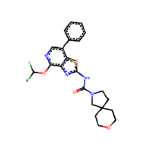 O=C(Nc1nc2c(OC(F)F)ncc(-c3ccccc3)c2s1)N1CCC2(CCOCC2)C1